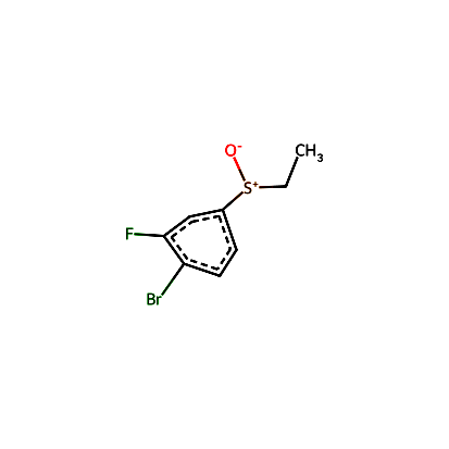 CC[S+]([O-])c1ccc(Br)c(F)c1